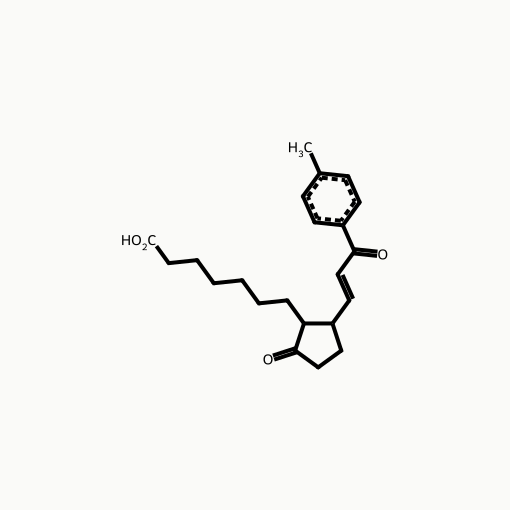 Cc1ccc(C(=O)/C=C/C2CCC(=O)C2CCCCCCC(=O)O)cc1